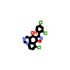 OC(c1cncnc1)c1c(-c2ccc(Cl)cc2Cl)noc1-c1ccccc1Cl